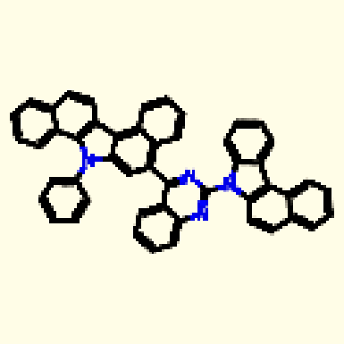 c1ccc(-n2c3cc(-c4nc(-n5c6ccccc6c6c7ccccc7ccc65)nc5ccccc45)c4ccccc4c3c3ccc4ccccc4c32)cc1